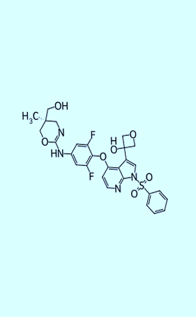 C[C@]1(CO)CN=C(Nc2cc(F)c(Oc3ccnc4c3c(C3(O)COC3)cn4S(=O)(=O)c3ccccc3)c(F)c2)OC1